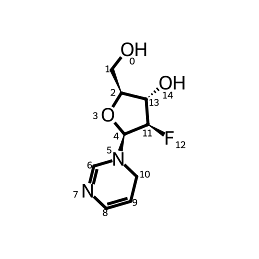 OC[C@@H]1O[C@H](N2C=NC=CC2)[C@H](F)[C@H]1O